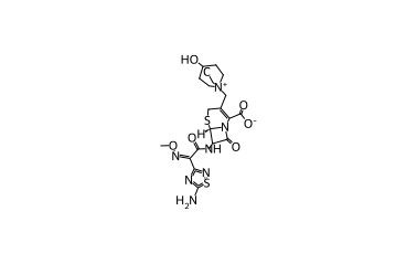 CO/N=C(\C(=O)N[C@@H]1C(=O)N2C(C(=O)[O-])=C(C[N+]34CCC(O)(CC3)CC4)CS[C@@H]12)c1nsc(N)n1